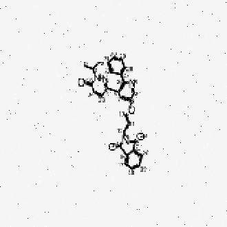 CC(C)n1nc(-c2cc(OCCCN3C(=O)c4ccccc4C3=O)cnc2-c2ccccc2)ccc1=O